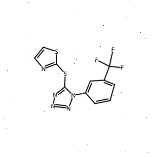 FC(F)(F)c1cccc(-n2nnnc2Sc2nccs2)c1